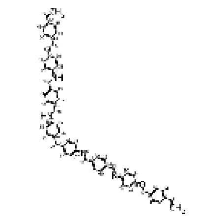 C=Cc1ccc(COc2ccc(N=Cc3ccc(C=Nc4ccc(Cc5ccc(NCc6ccc(CNc7ccc(OCc8ccc(C=C)cc8)cc7)cc6)cc5)cc4)cc3)cc2)cc1